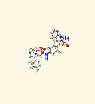 CC1(C)CCC(c2ccc(F)c(F)c2F)N(CC(=O)Nc2ccc3c(c2)C[C@@]2(C3)C(=O)Nc3ncccc32)C1=O